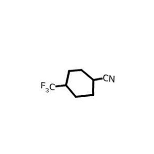 N#CC1CCC(C(F)(F)F)CC1